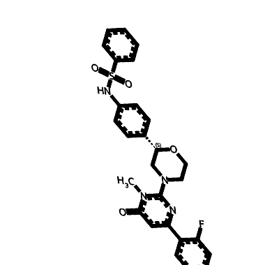 Cn1c(N2CCO[C@@H](c3ccc(NS(=O)(=O)c4ccccc4)cc3)C2)nc(-c2ccncc2F)cc1=O